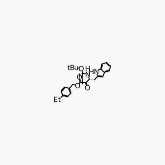 CCc1ccc(CONC(=O)[C@@H](Cc2cc3ccccc3[nH]2)NC(=O)OC(C)(C)C)cc1